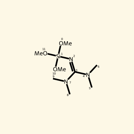 CO[Si](N=C(N(C)C)N(C)C)(OC)OC